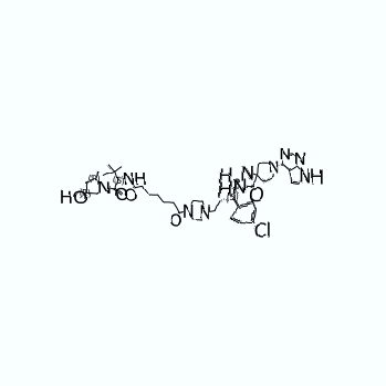 C[C@@H]1C[C@@H](O)CN1C(=O)[C@@H](NC(=O)CCCCCC(=O)N1CCN(CC[C@H](NC(=O)C2(N)CCN(c3ncnc4[nH]ccc34)CC2)c2ccc(Cl)cc2)CC1)C(C)(C)C